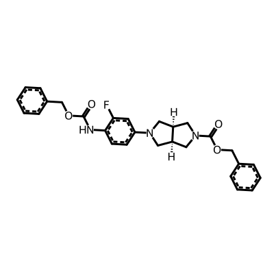 O=C(Nc1ccc(N2C[C@H]3CN(C(=O)OCc4ccccc4)C[C@H]3C2)cc1F)OCc1ccccc1